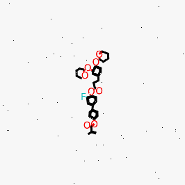 C=C(C)C(=O)Oc1ccc(-c2ccc(OC(=O)CCc3ccc(OC4CCCCO4)c(OC4CCCCO4)c3)c(F)c2)cc1